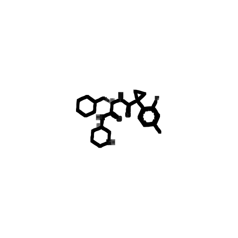 Cc1ccc(C2(C(=O)N[C@@H](CC3CCCCC3)C(=O)N[C@@H]3CCCNC3)CC2)c(F)c1